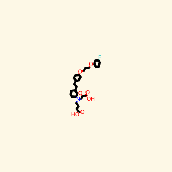 O=C(O)CCCN1CC(C(=O)O)Oc2c(CCc3ccc(OCCCOc4cccc(F)c4)cc3)cccc21